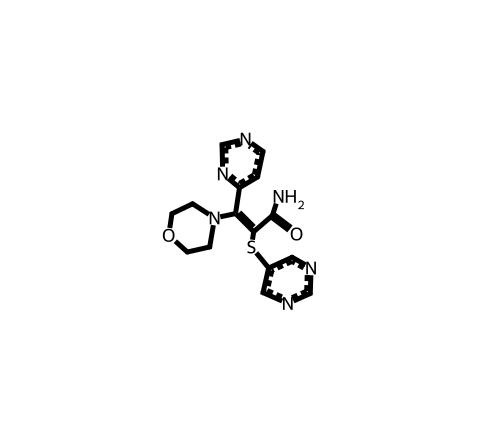 NC(=O)C(Sc1cncnc1)=C(c1ccncn1)N1CCOCC1